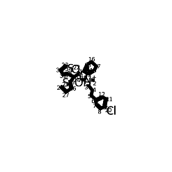 C[N+](C)(CCCc1ccc(Cl)cc1)C1CC2CCC1C2OC(=O)C(O)(c1cccs1)c1cccs1